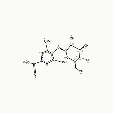 COC(=O)c1cc(OC)c(O[C@@H]2O[C@H](CO)[C@@H](O)[C@H](O)[C@H]2O)c(OC)c1